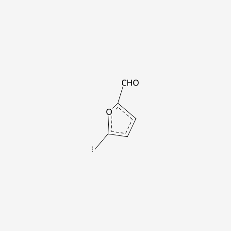 [C]c1ccc(C=O)o1